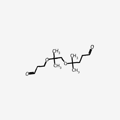 CC(C)(CCC=O)OCC(C)(C)OCCC=O